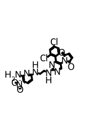 Nc1nc(NCCNc2ncc(N3C(=O)C=CC3=O)c(-c3ccc(Cl)cc3Cl)n2)ccc1[N+](=O)[O-]